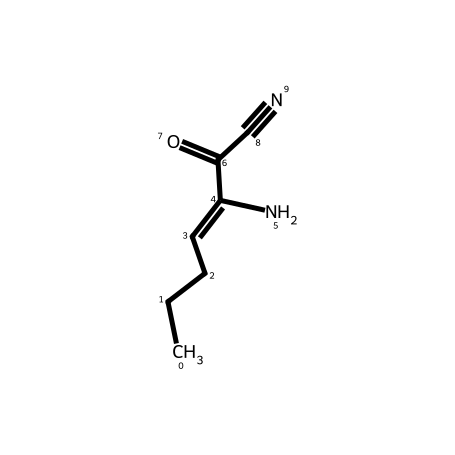 CCC/C=C(\N)C(=O)C#N